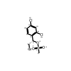 CS(=O)(=O)O[C@H](CBr)c1ccc(Cl)cc1Cl